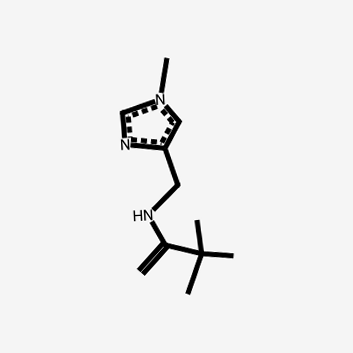 C=C(NCc1cn(C)cn1)C(C)(C)C